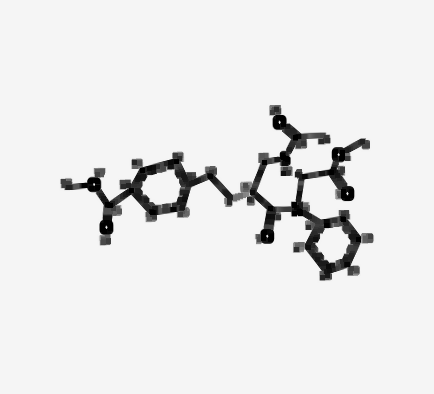 COC(=O)CN(C(=O)[C@H](CCc1ccc(C(=O)OC)cc1)CSC(C)=O)c1ccccc1